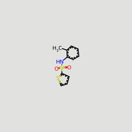 Cc1ccc[c]c1NS(=O)(=O)c1cccs1